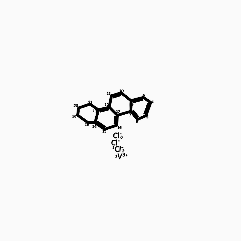 [Cl-].[Cl-].[Cl-].[V+3].c1ccc2c(c1)ccc1c3c(ccc12)CCCC3